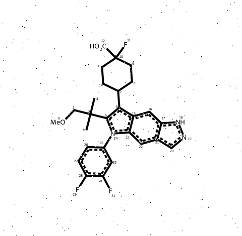 COCC(C)(C)c1c(C2CCC(F)(C(=O)O)CC2)c2cc3[nH]ncc3cc2n1-c1ccc(F)c(F)c1